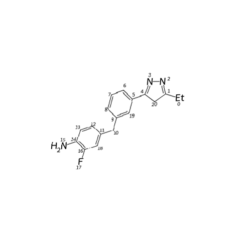 CCC1=NN=C(c2cccc(Cc3ccc(N)c(F)c3)c2)C1